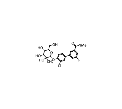 CNC(=O)c1cc(F)cc(-c2ccc(O[C@H]3O[C@H](CO)[C@@H](O)[C@H](O)[C@@]3(C)O)c(Cl)c2)c1